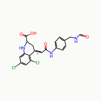 O=CNCc1ccc(NC(=O)/C=C2\CC(C(=O)O)Nc3cc(Cl)cc(Cl)c32)cc1